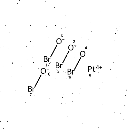 [O-]Br.[O-]Br.[O-]Br.[O-]Br.[Pt+4]